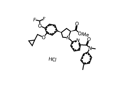 COC(=O)[C@@H]1C[C@H](c2ccc(OC(F)F)c(OCC3CC3)c2)CN1c1cccc(C(=O)N(C)c2ccc(C)cc2)n1.Cl